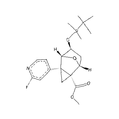 COC(=O)[C@]12C[C@@]1(c1ccnc(F)c1)[C@H]1O[C@@H]2C[C@@H]1O[Si](C)(C)C(C)(C)C